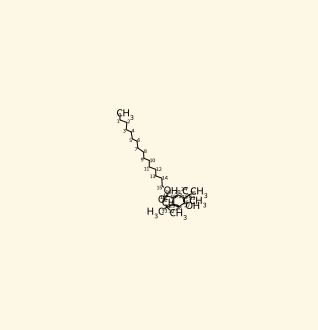 CCCCCCCCCCCCCCCCOC(=O)c1cc(C(C)(C)C)c(O)cc1C(C)(C)C